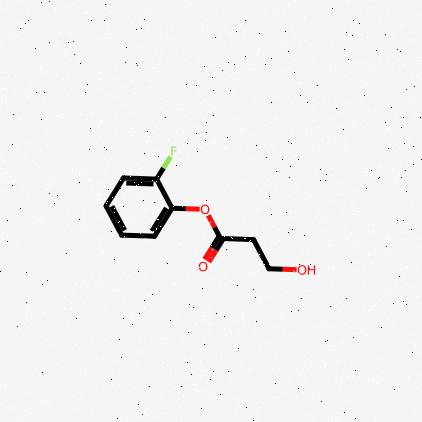 O=C(CCO)Oc1ccccc1F